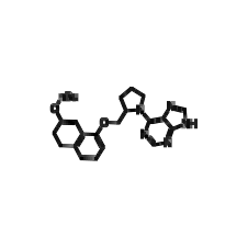 CCCCOC1=Cc2c(cccc2OCC2CCCN2c2ncnc3[nH]cnc23)CC1